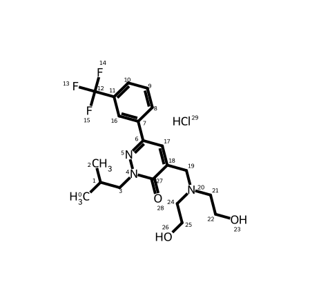 CC(C)Cn1nc(-c2cccc(C(F)(F)F)c2)cc(CN(CCO)CCO)c1=O.Cl